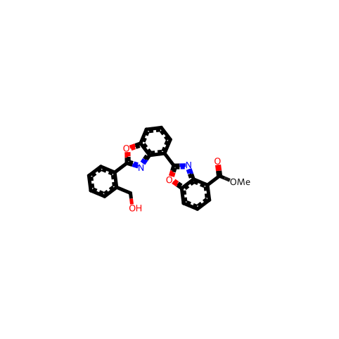 COC(=O)c1cccc2oc(-c3cccc4oc(-c5ccccc5CO)nc34)nc12